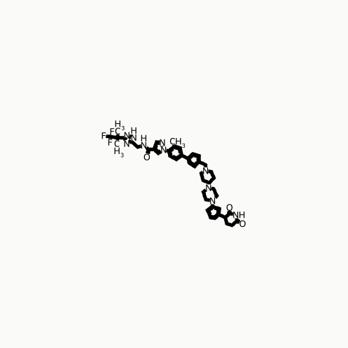 Cc1cc(-c2ccc(CN3CCC(N4CCN(c5cccc(C6CCC(=O)NC6=O)c5)CC4)CC3)cc2)ccc1-n1cc(C(=O)NCc2nc(C(C)(C)C(F)(F)F)n[nH]2)cn1